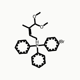 Br.COC(OC)C(C)=CC[PH](c1ccccc1)(c1ccccc1)c1ccccc1